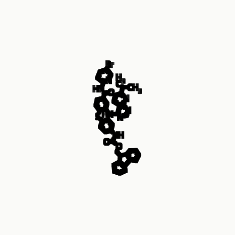 CC(C)c1ccc2c(Nc3cc(C(=O)Nc4ccc(Br)cn4)ccc3Sc3ccc(NC(=O)OCC4c5ccccc5-c5ccccc54)cc3)ncnc2n1